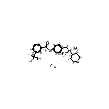 C[N+](C)(Cc1ccc(NC(=O)c2cccc(C(F)(F)F)c2)cc1)C1CCOCC1.[Cl-]